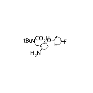 CC(C)(C)N(Cc1cc(Oc2ccc(F)cc2)ccc1N)C(=O)O